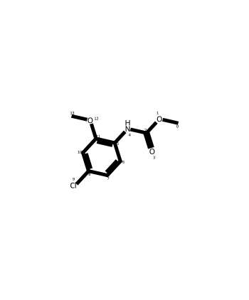 COC(=O)Nc1ccc(Cl)cc1OC